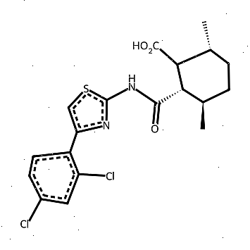 C[C@@H]1CC[C@@H](C)[C@H](C(=O)Nc2nc(-c3ccc(Cl)cc3Cl)cs2)C1C(=O)O